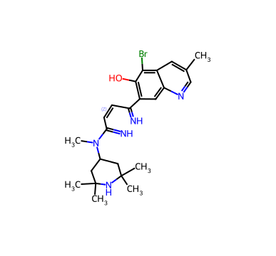 Cc1cnc2cc(C(=N)/C=C\C(=N)N(C)C3CC(C)(C)NC(C)(C)C3)c(O)c(Br)c2c1